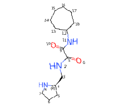 O=C(NC[C@H]1CCCN1)C(=O)NC1CCCCCC1